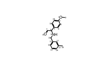 COc1ccc(C(C=O)NCc2cccc(C)c2)cc1